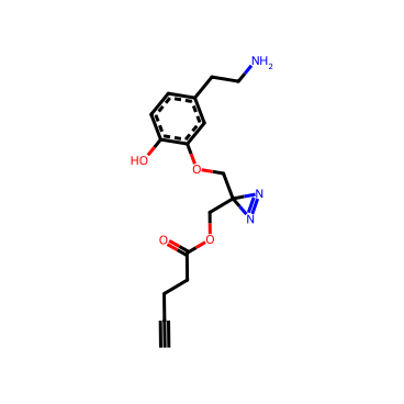 C#CCCC(=O)OCC1(COc2cc(CCN)ccc2O)N=N1